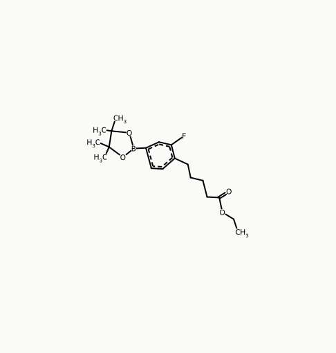 CCOC(=O)CCCCc1ccc(B2OC(C)(C)C(C)(C)O2)cc1F